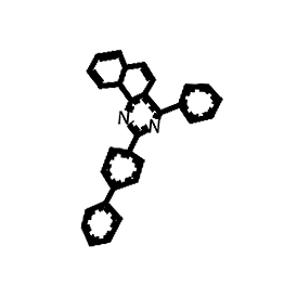 C1=CC2C=Cc3c(-c4ccccc4)nc(-c4ccc(-c5ccccc5)cc4)nc3C2C=C1